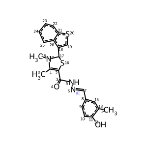 CC1=C(C(=O)N/N=C/c2ccc(O)c(C)c2)SC(c2csc3ccccc23)N1C